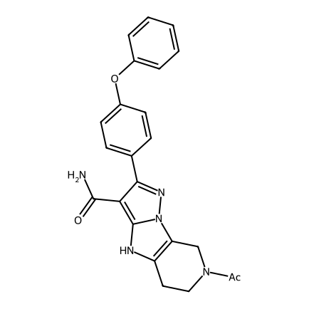 CC(=O)N1CCc2[nH]c3c(C(N)=O)c(-c4ccc(Oc5ccccc5)cc4)nn3c2C1